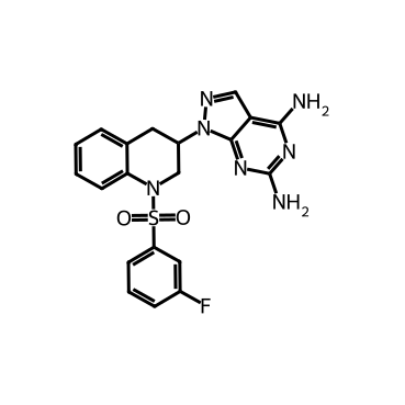 Nc1nc(N)c2cnn(C3Cc4ccccc4N(S(=O)(=O)c4cccc(F)c4)C3)c2n1